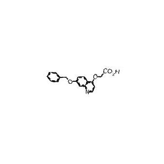 O=C(O)COc1ccnc2cc(OCc3ccccc3)ccc12